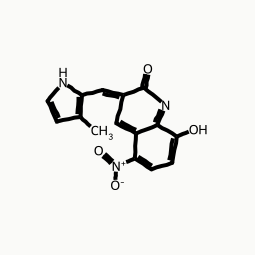 Cc1cc[nH]c1C=C1C=c2c([N+](=O)[O-])ccc(O)c2=NC1=O